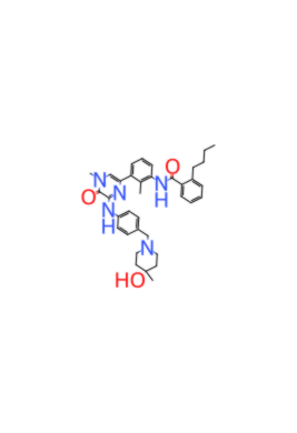 CCCCc1ccccc1C(=O)Nc1cccc(-c2cn(C)c(=O)c(Nc3ccc(CN4CCC(C)(O)CC4)cc3)n2)c1C